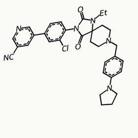 CCN1C(=O)N(c2ccc(-c3cncc(C#N)c3)cc2Cl)C(=O)C12CCN(Cc1ccc(N3CCCC3)cc1)CC2